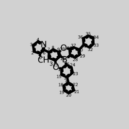 Cc1cccnc1-c1cc2c3c(c1)Oc1cc(-c4ccccc4)ccc1B3c1ccc(-c3ccccc3)cc1O2